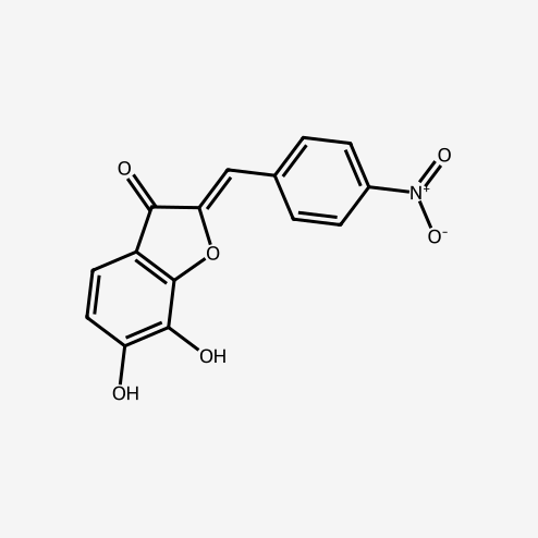 O=C1/C(=C/c2ccc([N+](=O)[O-])cc2)Oc2c1ccc(O)c2O